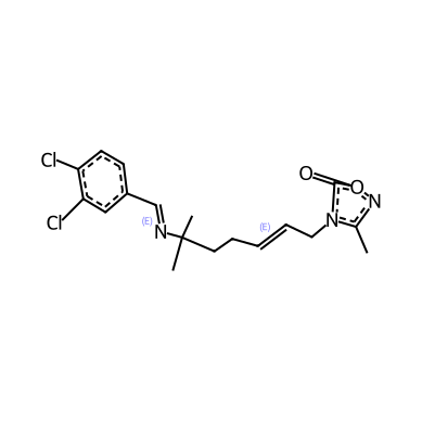 Cc1noc(=O)n1C/C=C/CCC(C)(C)/N=C/c1ccc(Cl)c(Cl)c1